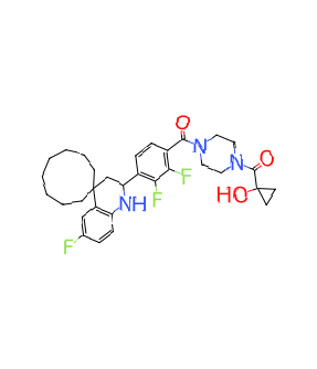 O=C(c1ccc(C2CC3(CCCCCCCC3)c3cc(F)ccc3N2)c(F)c1F)N1CCN(C(=O)C2(O)CC2)CC1